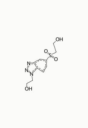 O=S(=O)(CCO)c1ccc2c(c1)nnn2CCO